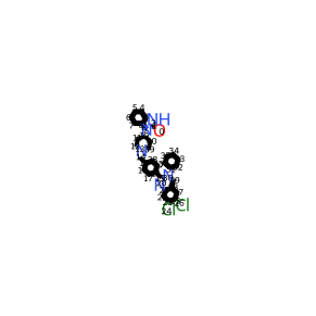 O=c1[nH]c2ccccc2n1C1CCN(Cc2ccc(C3N=c4cc(Cl)c(Cl)cc4=CN3c3ccccc3)cc2)CC1